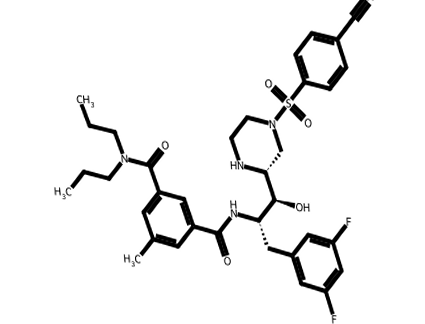 CCCN(CCC)C(=O)c1cc(C)cc(C(=O)N[C@@H](Cc2cc(F)cc(F)c2)[C@H](O)[C@H]2CN(S(=O)(=O)c3ccc(C#N)cc3)CCN2)c1